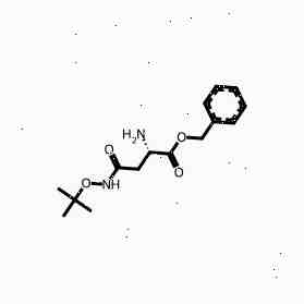 CC(C)(C)ONC(=O)C[C@H](N)C(=O)OCc1ccccc1